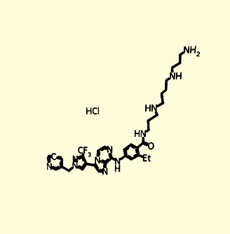 CCc1cc(Nc2nccn3c(-c4cn(Cc5cccnc5)nc4C(F)(F)F)cnc23)ccc1C(=O)NCCCNCCCCNCCCN.Cl